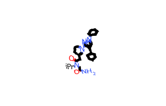 CC(C)N(CC(N)=O)C(=O)CC1CCCN(c2nn(-c3ccccc3)cc2-c2ccccc2)C1